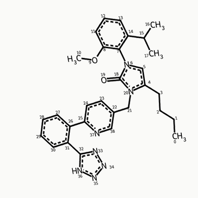 CCCCc1cn(-c2c(OC)cccc2C(C)C)c(=O)n1Cc1ccc(-c2ccccc2-c2nnn[nH]2)nc1